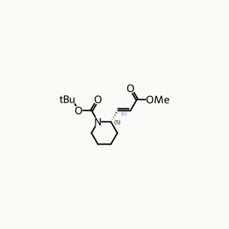 COC(=O)/C=C/[C@@H]1CCCCN1C(=O)OC(C)(C)C